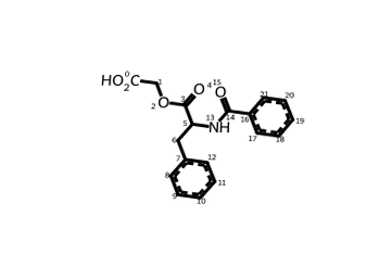 O=C(O)COC(=O)C(Cc1ccccc1)NC(=O)c1ccccc1